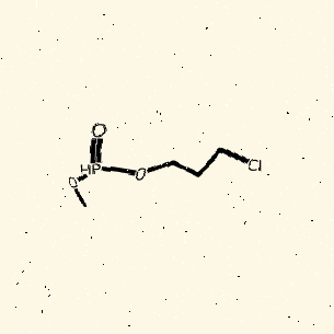 CO[PH](=O)OCCCCl